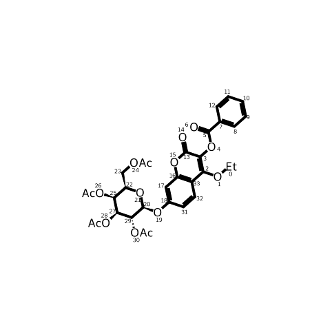 CCOc1c(OC(=O)c2ccccc2)c(=O)oc2cc(O[C@@H]3O[C@H](COC(C)=O)[C@H](OC(C)=O)[C@H](OC(C)=O)[C@H]3OC(C)=O)ccc12